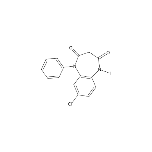 O=C1CC(=O)N(c2ccccc2)c2cc(Cl)ccc2N1I